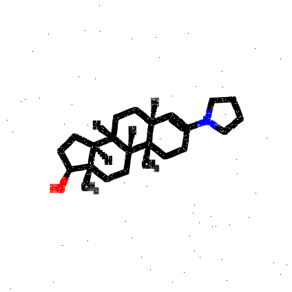 C[C@]12CCC(N3CCCC3)=C[C@@H]1CC[C@@H]1[C@@H]2CC[C@]2(C)[C@@H](O)CC[C@@H]12